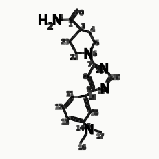 C=C(N)C1CCN(c2cc(-c3cccc(N(C)C)c3)ncn2)CC1